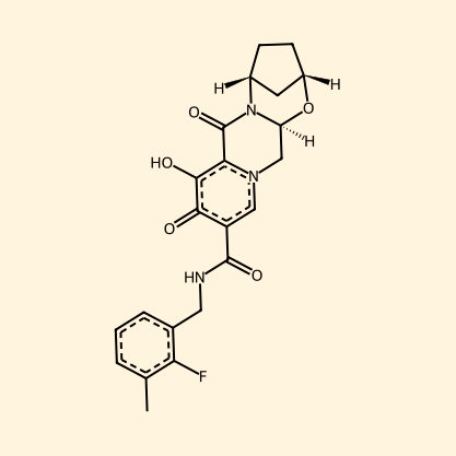 Cc1cccc(CNC(=O)c2cn3c(c(O)c2=O)C(=O)N2[C@@H]4CC[C@@H](C4)O[C@H]2C3)c1F